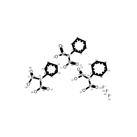 O=[N+]([O-])[S+](c1ccccc1)[N+](=O)[O-].O=[N+]([O-])[S+](c1ccccc1)[N+](=O)[O-].O=[N+]([O-])[S+](c1ccccc1)[N+](=O)[O-].[F-].[F-].[F-]